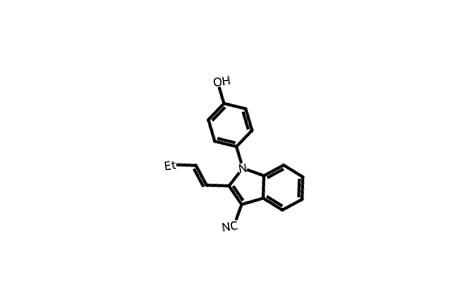 CCC=Cc1c(C#N)c2ccccc2n1-c1ccc(O)cc1